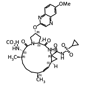 COc1ccc2nc(O[C@@H]3C[C@H]4C(=O)N[C@]5(C(=O)NS(=O)(=O)C6CC6)C[C@H]5C=C[C@@H](C)CCC[C@@H](C)[C@H](NC(=O)O)C(=O)N4C3)cnc2c1